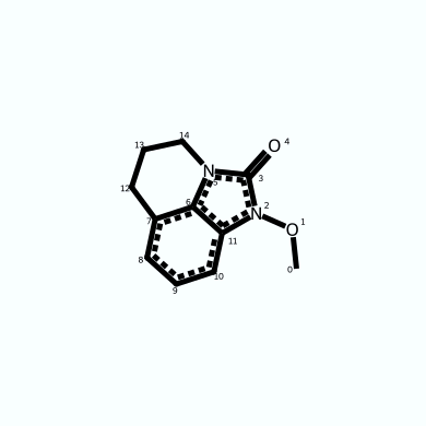 COn1c(=O)n2c3c(cccc31)CCC2